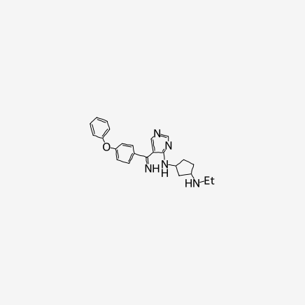 CCNC1CCC(Nc2ncncc2C(=N)c2ccc(Oc3ccccc3)cc2)C1